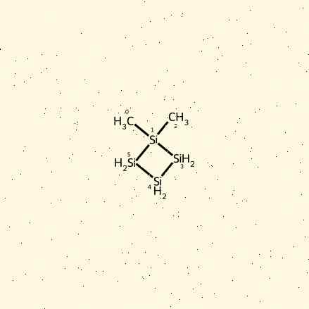 C[Si]1(C)[SiH2][SiH2][SiH2]1